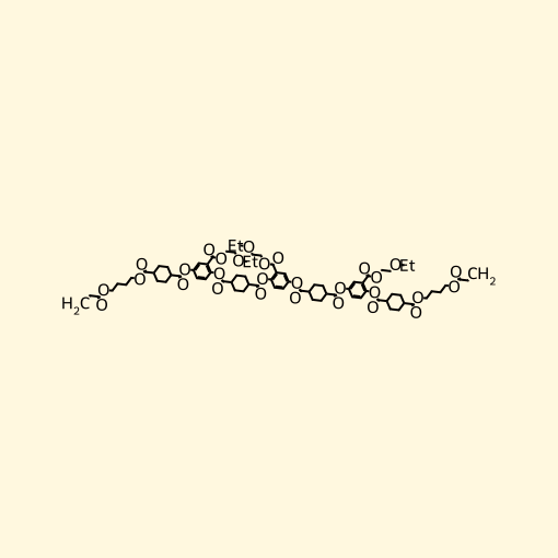 C=CC(=O)OCCCCOC(=O)C1CCC(C(=O)Oc2ccc(OC(=O)C3CCC(C(=O)Oc4ccc(OC(=O)C5CCC(C(=O)Oc6ccc(OC(=O)C7CCC(C(=O)OCCCCOC(=O)C=C)CC7)c(C(=O)OCCOCC)c6)CC5)cc4C(=O)OCCOCC)CC3)c(C(=O)OCCOCC)c2)CC1